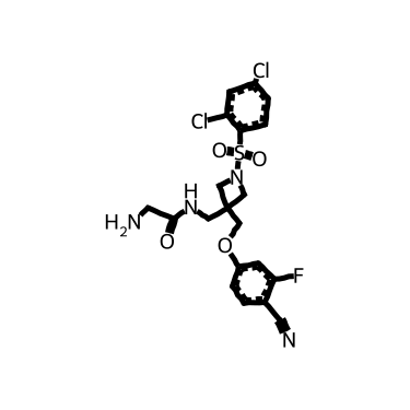 N#Cc1ccc(OCC2(CNC(=O)CN)CN(S(=O)(=O)c3ccc(Cl)cc3Cl)C2)cc1F